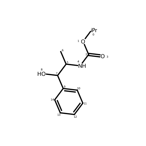 CC(C)OC(=O)NC(C)C(O)c1ccccc1